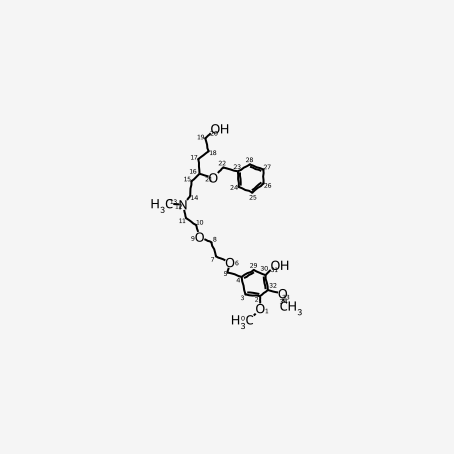 COc1cc(COCCOCCN(C)CCC(CCCO)OCc2ccccc2)cc(O)c1OC